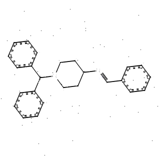 C(=N\C1CCN(C(c2ccccc2)c2ccccc2)CC1)/c1ccccc1